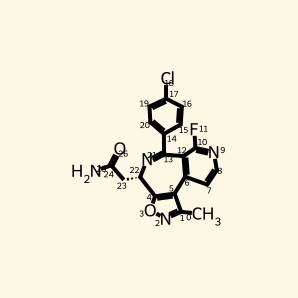 Cc1noc2c1-c1ccnc(F)c1C(c1ccc(Cl)cc1)=N[C@H]2CC(N)=O